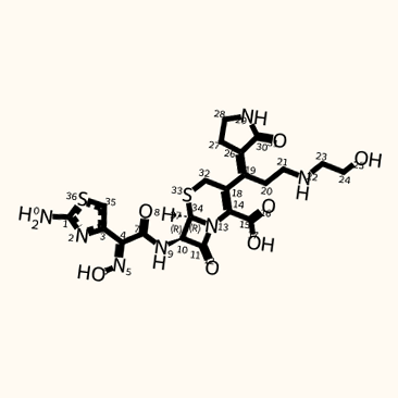 Nc1nc(C(=NO)C(=O)N[C@@H]2C(=O)N3C(C(=O)O)=C(C(CCNCCO)=C4CCNC4=O)CS[C@H]23)cs1